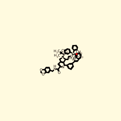 CC(C)(C)[S@@+]([O-])N1Cc2cc(C(=O)NCc3ccc4c(c3)OCO4)nc(-c3cccc(-c4cc5ccccc5o4)c3)c2C1CCO[Si](c1ccccc1)(c1ccccc1)C(C)(C)C